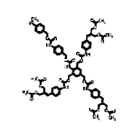 CNc1ccc(COC(=O)Nc2ccc(COC(=O)Nc3c(COC(=O)Nc4ccc(C=C(COC(C)=O)COC(C)=O)cc4)cc(COC(=O)Nc4ccc(C=C(COC(C)=O)COC(C)=O)cc4)cc3COC(=O)Nc3ccc(C=C(COC(C)=O)COC(C)=O)cc3)cc2)cc1